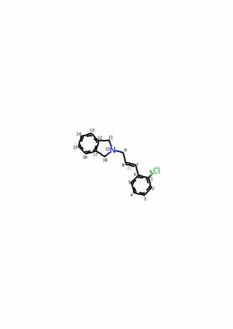 Clc1ccccc1/C=C/CN1Cc2ccccc2C1